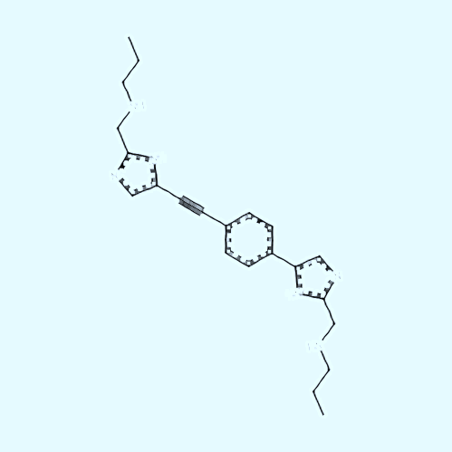 CCCNCc1ncc(C#Cc2ccc(-c3cnc(CNCCC)[nH]3)cc2)[nH]1